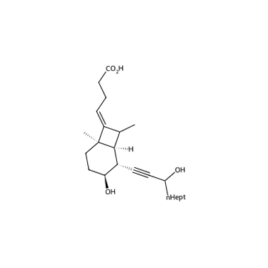 CCCCCCCC(O)C#C[C@@H]1[C@@H](O)CC[C@@]2(C)C(=CCCC(=O)O)C(C)[C@@H]12